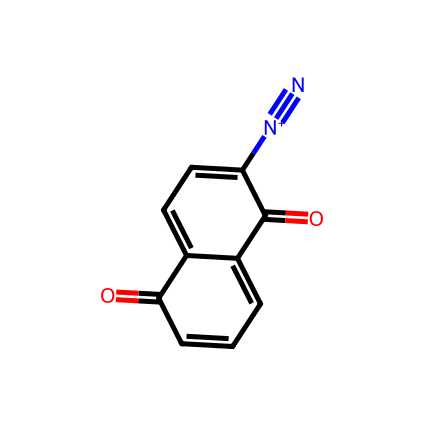 N#[N+]C1=CC=C2C(=O)C=CC=C2C1=O